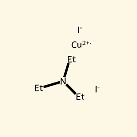 CCN(CC)CC.[Cu+2].[I-].[I-]